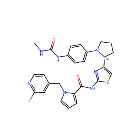 CNC(=O)Nc1ccc(N2CCC[C@@H]2c2csc(NC(=O)c3cccn3Cc3ccnc(F)c3)n2)cc1